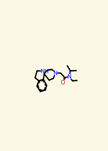 CCN(C(=O)CN1CCC2(CC1)NCCc1ccccc12)C(C)C